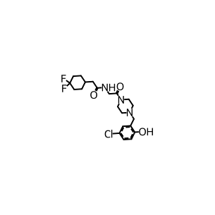 O=C(CC1CCC(F)(F)CC1)NCC(=O)N1CCN(Cc2cc(Cl)ccc2O)CC1